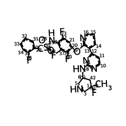 C[C@@]1(F)CNC[C@@H](Nc2nccc(-c3cccnc3Oc3cc(F)c(NS(=O)(=O)Cc4ccccc4F)c(F)c3F)n2)C1